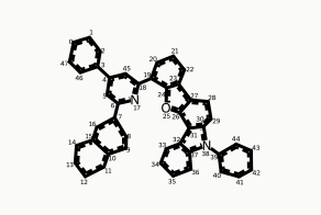 c1ccc(-c2cc(-c3ccc4ccccc4c3)nc(-c3cccc4c3oc3c4ccc4c3c3ccccc3n4-c3ccccc3)c2)cc1